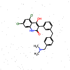 CN(C)Cc1ccc(Cc2cccc(-c3c(O)c4c(Cl)cc(Cl)cc4[nH]c3=O)c2)cc1